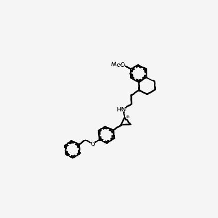 COc1ccc2c(c1)C(CCN[C@H]1CC1c1ccc(OCc3ccccc3)cc1)CCC2